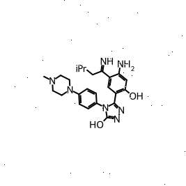 CC(C)CC(=N)c1cc(-c2nnc(O)n2-c2ccc(N3CCN(C)CC3)cc2)c(O)cc1N